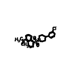 CN(C)c1cccc2c(S(=O)(=O)N3CCC(C4C=CCC(Cl)=C4)CC3)cccc12